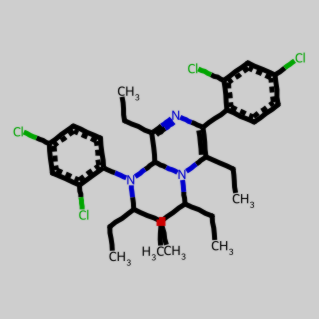 CCC1=NC(c2ccc(Cl)cc2Cl)=C(CC)N(C(CC)CC)C1N(c1ccc(Cl)cc1Cl)C(CC)CC